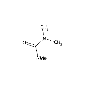 CNC(=O)N(C)C